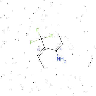 C/C=C(N)\C(=C/C)C(F)(F)F